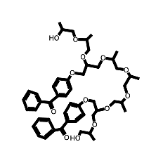 CC(O)COC(C)COC(COc1ccc(C(=O)c2ccccc2)cc1)COC(C)COC(C)COC(C)COC(COc1ccc(C(=O)c2ccccc2)cc1)COC(C)CO